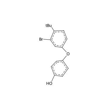 CC(C)(C)c1ccc(Oc2ccc(O)cc2)cc1Br